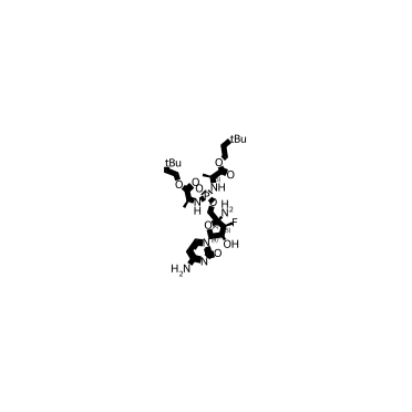 C[C@H](NP(=O)(N[C@@H](C)C(=O)OCCC(C)(C)C)OC[C@@]1(N)O[C@@H](n2ccc(N)nc2=O)[C@H](O)[C@@H]1F)C(=O)OCCC(C)(C)C